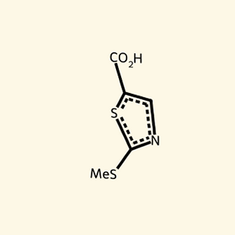 CSc1ncc(C(=O)O)s1